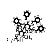 CC(=O)O[C@@H]1C(C)O[C@@H](OC(=N)C(Cl)(Cl)Cl)C(N=[N+]=[N-])C1O[C@@H]1OC(COCc2ccccc2)[C@@H](OCc2ccccc2)C(OCc2ccccc2)C1OC(=O)c1ccccc1